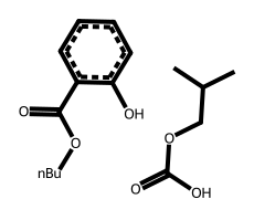 CC(C)COC(=O)O.CCCCOC(=O)c1ccccc1O